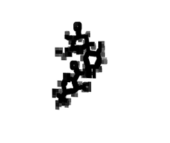 CN1C(=O)CC(C)(c2cc(NC(=O)c3ncc(C(F)(F)F)cc3Cl)ccc2F)N=C1N